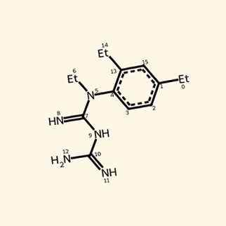 CCc1ccc(N(CC)C(=N)NC(=N)N)c(CC)c1